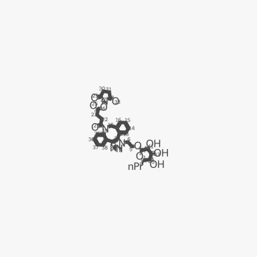 CCC[C@H]1O[C@@H](OCCn2nnc3c2-c2ccccc2CN(C(=O)CCC(=O)ON2C(=O)CCC2=O)c2ccccc2-3)[C@H](O)[C@@H](O)[C@@H]1O